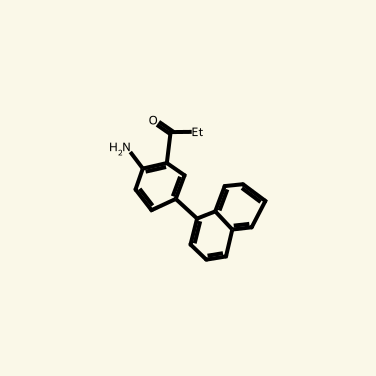 CCC(=O)c1cc(-c2cccc3ccccc23)ccc1N